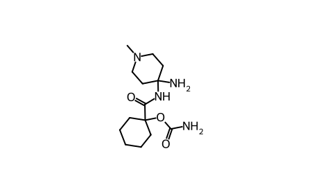 CN1CCC(N)(NC(=O)C2(OC(N)=O)CCCCC2)CC1